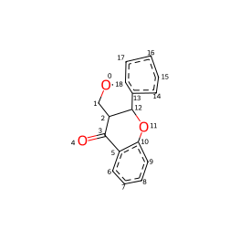 [O]CC1C(=O)c2ccccc2OC1c1ccccc1